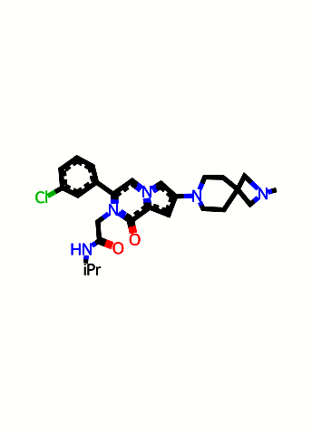 CC(C)NC(=O)Cn1c(-c2cccc(Cl)c2)cn2cc(N3CCC4(CC3)CN(C)C4)cc2c1=O